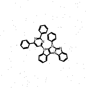 c1ccc(-c2cc(-n3c4ccccc4c4c3n(-c3ccccc3)c3nc5ccccc5n43)nc(-c3ccccc3)n2)cc1